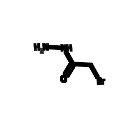 NNC(=O)CBr